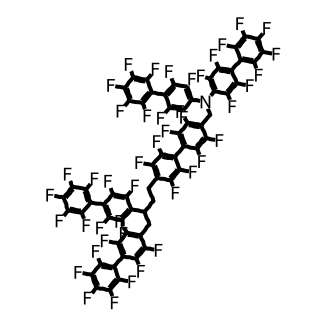 Fc1c(F)c(F)c(-c2c(F)c(F)c(CC(CCc3c(F)c(F)c(-c4c(F)c(F)c(CN(c5c(F)c(F)c(-c6c(F)c(F)c(F)c(F)c6F)c(F)c5F)c5c(F)c(F)c(-c6c(F)c(F)c(F)c(F)c6F)c(F)c5F)c(F)c4F)c(F)c3F)c3c(F)c(F)c(-c4c(F)c(F)c(F)c(F)c4F)c(F)c3F)c(F)c2F)c(F)c1F